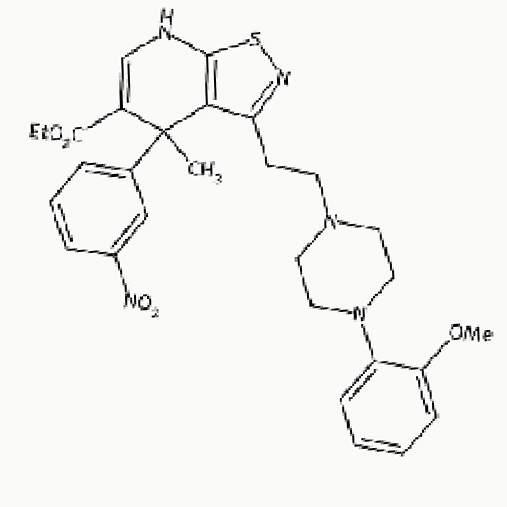 CCOC(=O)C1=CNc2snc(CCN3CCN(c4ccccc4OC)CC3)c2C1(C)c1cccc([N+](=O)[O-])c1